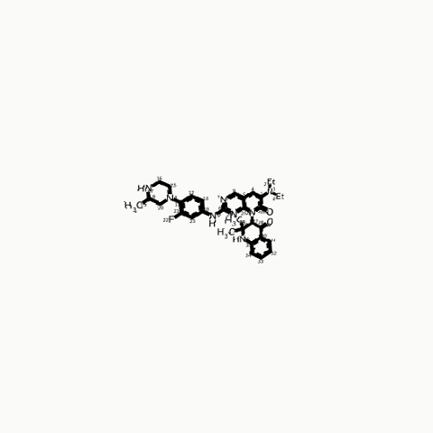 CCN(CC)c1cc2cnc(Nc3ccc(N4CCNC(C)C4)c(F)c3)nc2n(C2C(=O)c3ccccc3NC2(C)C)c1=O